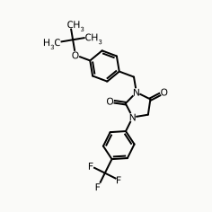 CC(C)(C)Oc1ccc(CN2C(=O)CN(c3ccc(C(F)(F)F)cc3)C2=O)cc1